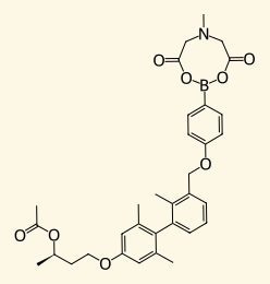 CC(=O)O[C@H](C)CCOc1cc(C)c(-c2cccc(COc3ccc(B4OC(=O)CN(C)CC(=O)O4)cc3)c2C)c(C)c1